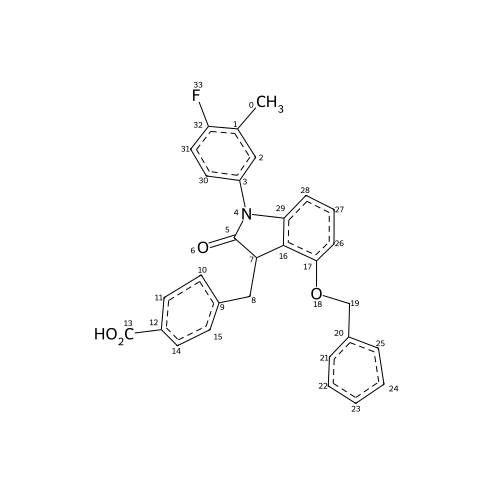 Cc1cc(N2C(=O)C(Cc3ccc(C(=O)O)cc3)c3c(OCc4ccccc4)cccc32)ccc1F